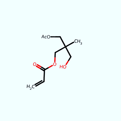 C=CC(=O)OCC(C)(CO)COC(C)=O